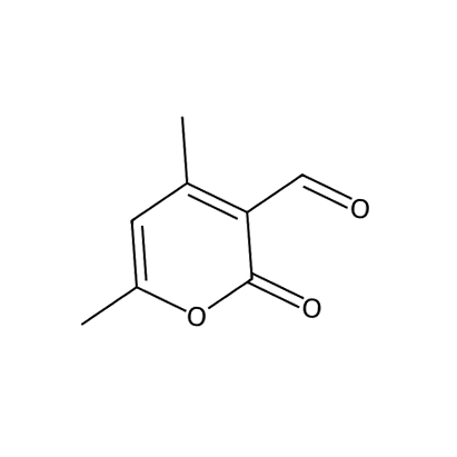 Cc1cc(C)c(C=O)c(=O)o1